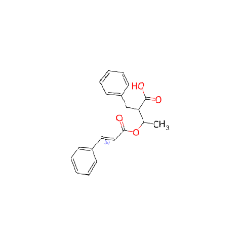 CC(OC(=O)/C=C/c1ccccc1)C(Cc1ccccc1)C(=O)O